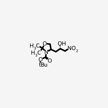 CC(C)(C)OC(=O)N1C(C[C@H](O)C[N+](=O)[O-])COC1(C)C